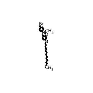 CCCCCCCCCCCCCCOc1ccc(CN(C(C)=O)c2ccc(CBr)cc2)cc1